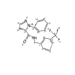 O=C(NCc1cccc(C(F)(F)F)c1)c1ncnn1-c1ccccc1